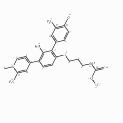 CN1C=C=C(c2ccc(OCCCNC(=O)OC(C)(C)C)c(-c3ccc(Cl)c(C(F)(F)F)c3)c2O)C=C1C(F)(F)F